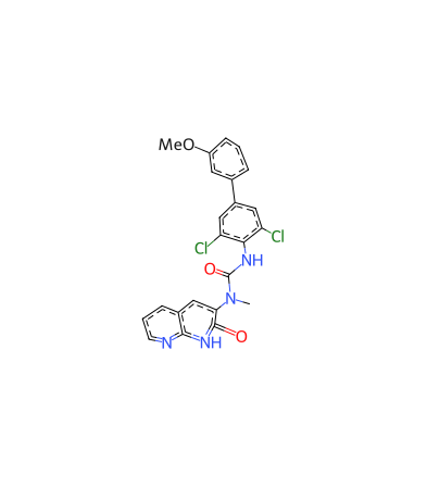 COc1cccc(-c2cc(Cl)c(NC(=O)N(C)c3cc4cccnc4[nH]c3=O)c(Cl)c2)c1